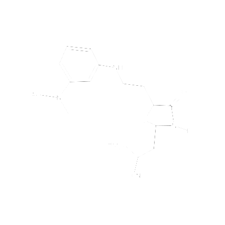 CCN1C(=O)C(CCNc2cccc(N(C)C(C)=O)c2)SC1CC(C#N)C(=O)O